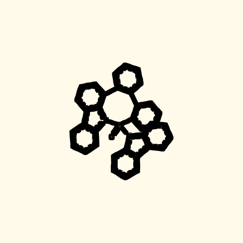 O=P1(n2c3ccccc3c3ccccc32)c2ccccc2-c2ccccc2-c2cccc3c4ccccc4n1c23